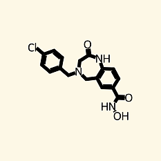 O=C1CN(Cc2ccc(Cl)cc2)Cc2cc(C(=O)NO)ccc2N1